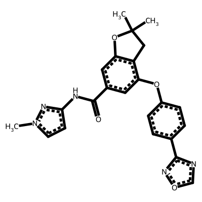 Cn1ccc(NC(=O)c2cc(Oc3ccc(-c4ncon4)cc3)c3c(c2)OC(C)(C)C3)n1